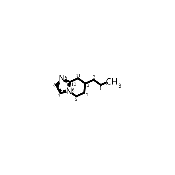 CCCC1CCn2ccnc2C1